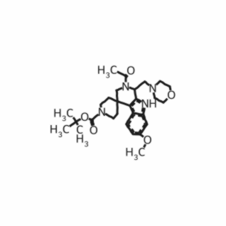 COc1ccc2c3c([nH]c2c1)C(CN1CCOCC1)N(C(C)=O)CC31CCN(C(=O)OC(C)(C)C)CC1